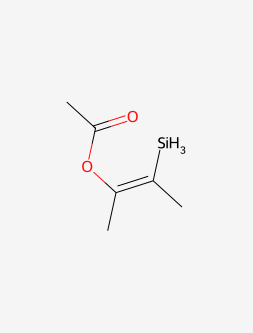 CC(=O)OC(C)=C(C)[SiH3]